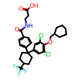 O=C(O)CCNC(=O)c1ccc(C2(c3cc(Cl)c(OCC4CCCCC4)c(Cl)c3)CCC(C(F)(F)F)CC2)cc1